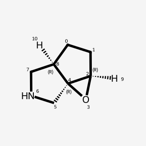 C1C[C@H]2O[C@]23CNC[C@@H]13